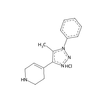 Cc1c(C2=CCNCC2)nnn1-c1ccccc1.Cl